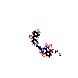 COc1cccc2c1C(=NO)CN(CCCN1CCC(C(=O)c3ccc(F)cc3)CC1)S2(=O)=O